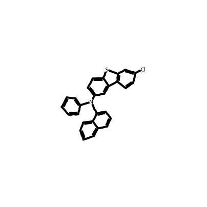 Clc1ccc2c(c1)sc1ccc(N(c3ccccc3)c3cccc4ccccc34)cc12